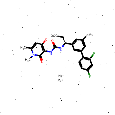 COc1cc(-c2ccc(F)cc2F)cc([C@H](CC(=O)[O-])NC(=O)Nc2c([O-])cc(C)n(C)c2=O)c1.[Na+].[Na+]